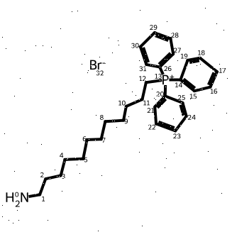 NCCCCCCCCCCCC[P+](c1ccccc1)(c1ccccc1)c1ccccc1.[Br-]